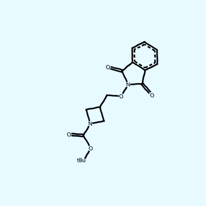 CC(C)(C)OC(=O)N1CC(CON2C(=O)c3ccccc3C2=O)C1